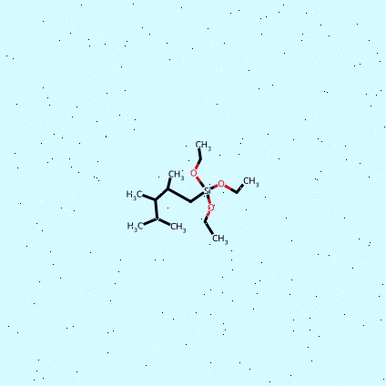 CCO[Si](CC(C)C(C)C(C)C)(OCC)OCC